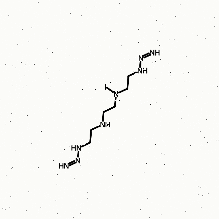 N=NNCCNCCN(I)CCNN=N